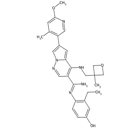 CCc1cc(O)ccc1/N=C(\N)c1cnn2cc(-c3cnc(OC)cc3C)cc2c1NCC1(C)COC1